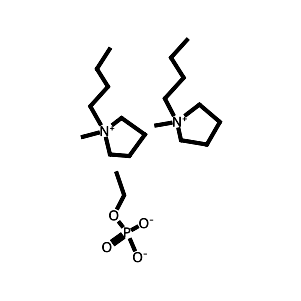 CCCC[N+]1(C)CCCC1.CCCC[N+]1(C)CCCC1.CCOP(=O)([O-])[O-]